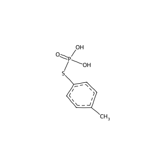 Cc1ccc(SP(=O)(O)O)cc1